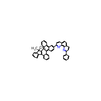 CC1(C)c2ccccc2-c2c1c1c3ccccc3c3cc(-c4ccc5ccc6ccc(-c7ccccc7)nc6c5n4)ccc3c1c1ccccc21